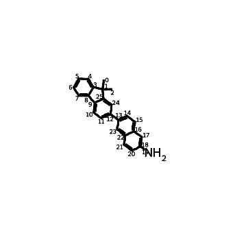 CC1(C)c2ccccc2-c2ccc(-c3ccc4cc(N)ccc4c3)cc21